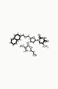 Cc1cn([C@H]2C[C@H](OP(OCCC#N)N(C(C)C)C(C)C)[C@@H](COCc3ccc4ccccc4c3)O2)c(=O)[nH]c1=O